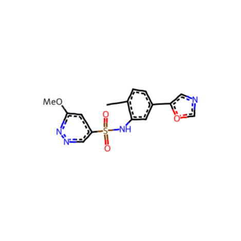 COc1cc(S(=O)(=O)Nc2cc(-c3cnco3)ccc2C)cnn1